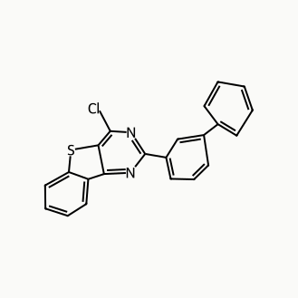 Clc1nc(-c2cccc(-c3ccccc3)c2)nc2c1sc1ccccc12